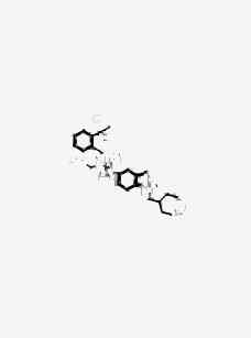 CC(C)CN(Cc1ccccc1C(C)(F)F)S(=O)(=O)c1ccc2c(cnn2CC2CCOCC2)c1